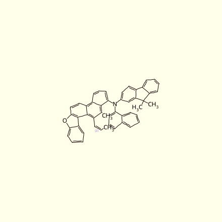 C/C=C\c1c(C)c2c(N(c3ccc4c(c3)C(C)(C)c3ccccc3-4)c3cccc4ccccc34)cccc2c2ccc3oc4ccccc4c3c12